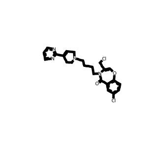 O=C1c2cc(Cl)ccc2OC=C(CCl)N1CCCCN1CC=C(c2ncccn2)CC1